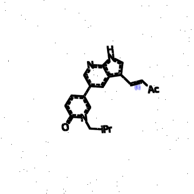 CC(=O)/C=C/c1c[nH]c2ncc(-c3ccc(=O)n(CC(C)C)c3)cc12